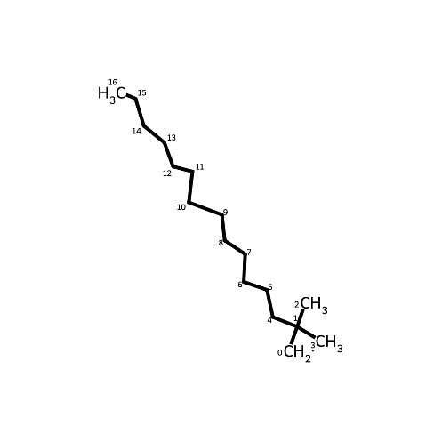 [CH2]C(C)(C)CCCCCCCCCCCCC